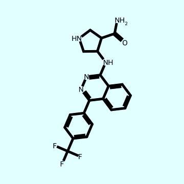 NC(=O)C1CNCC1Nc1nnc(-c2ccc(C(F)(F)F)cc2)c2ccccc12